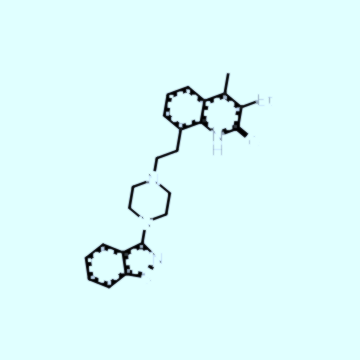 CCc1c(C)c2cccc(CCN3CCN(c4nsc5ccccc45)CC3)c2[nH]c1=O